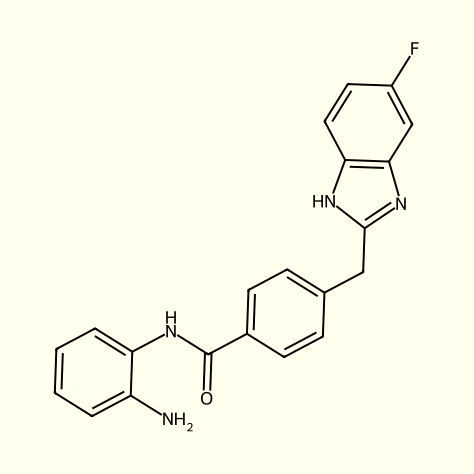 Nc1ccccc1NC(=O)c1ccc(Cc2nc3cc(F)ccc3[nH]2)cc1